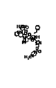 CC(C)C[C@H](NC(=O)[C@H](CCc1ccccc1)NC(=O)c1cnc(COC(=O)N2CCN(C)CC2)s1)C(=O)N[C@@H](Cc1ccccc1)C(=O)N[C@@H](CC(C)C)C(=O)C1(C)CO1